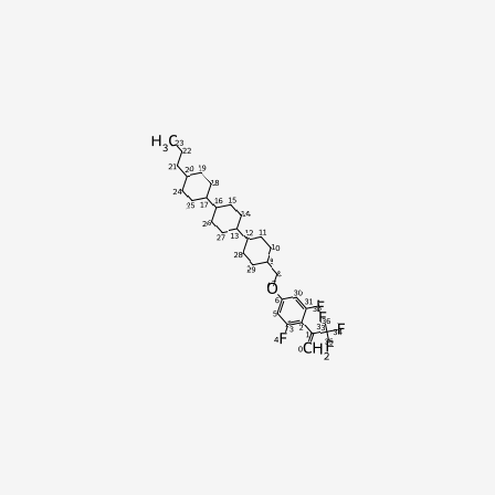 C=C(c1c(F)cc(OCC2CCC(C3CCC(C4CCC(CCC)CC4)CC3)CC2)cc1F)C(F)(F)F